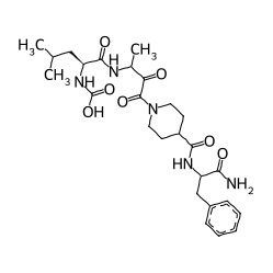 CC(C)C[C@H](NC(=O)O)C(=O)NC(C)C(=O)C(=O)N1CCC(C(=O)NC(Cc2ccccc2)C(N)=O)CC1